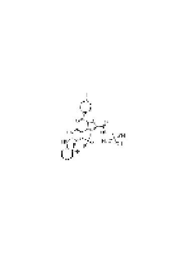 CC(C)(O)CNC(=O)c1nc(C(=O)N2CCC(F)CC2)c(C2=CNC(NC3CCCCC3(F)F)C=C2C(F)(F)F)s1